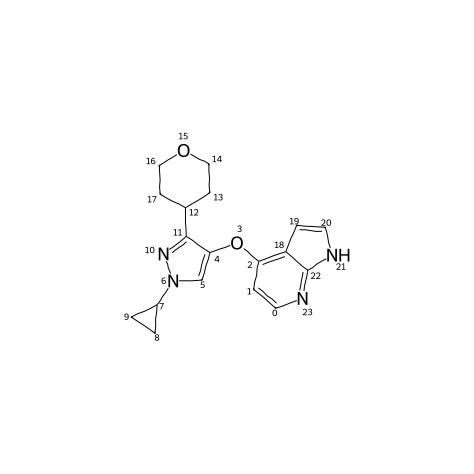 c1cc(Oc2cn(C3CC3)nc2C2CCOCC2)c2cc[nH]c2n1